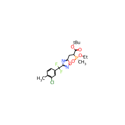 CCOP(C)(=O)C(Cc1nc(C(F)(F)c2ccc(C)c(Cl)c2)no1)C(=O)OC(C)(C)C